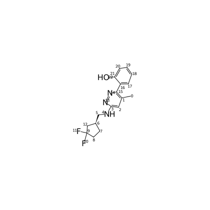 Cc1cc(NC[C@H]2CCC(F)(F)C2)nnc1-c1ccccc1O